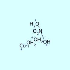 O.O.O.O=[N+]([O-])O.[Co]